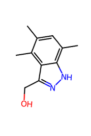 Cc1cc(C)c2[nH]nc(CO)c2c1C